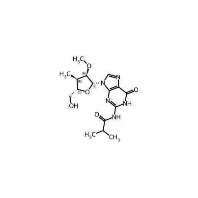 CO[C@@H]1[C@H](C)[C@@H](CO)O[C@H]1n1cnc2c(=O)[nH]c(NC(=O)C(C)C)nc21